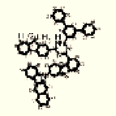 CC1(C)c2ccccc2-c2ccc(C(=N)/N=C(\N=C\c3cc(-c4ccccc4)cc(-c4ccccc4)c3)c3cccc4sc5cc(-n6c7ccccc7c7cc8ccccc8cc76)ccc5c34)cc21